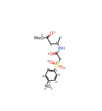 COC(=O)CC(C)NC(=O)CS(=O)(=O)c1ccc([N+](=O)[O-])cc1